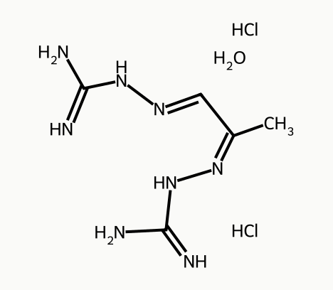 CC(C=NNC(=N)N)=NNC(=N)N.Cl.Cl.O